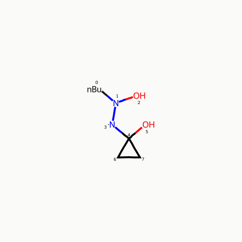 CCCCN(O)[N]C1(O)CC1